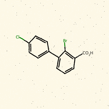 O=C(O)c1cccc(-c2ccc(Cl)cc2)c1Br